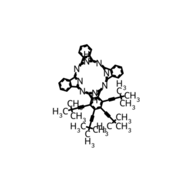 CC(C)(C)C#Cc1c(C#CC(C)(C)C)c(C#CC(C)(C)C)c2c3nc4nc(nc5[nH]c(nc6nc(nc([nH]3)c2c1C#CC(C)(C)C)-c1ccccc1-6)c1ccccc51)-c1ccccc1-4